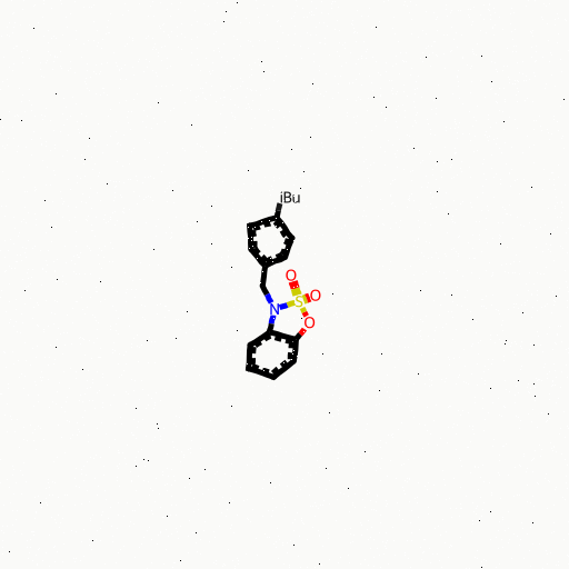 CCC(C)c1ccc(CN2c3ccccc3OS2(=O)=O)cc1